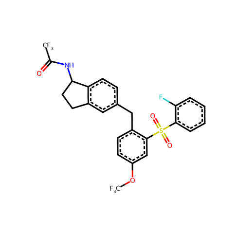 O=C(NC1CCc2cc(Cc3ccc(OC(F)(F)F)cc3S(=O)(=O)c3ccccc3F)ccc21)C(F)(F)F